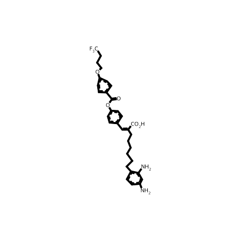 Nc1ccc(CCCCCCC(=Cc2ccc(OC(=O)c3ccc(OCCCC(F)(F)F)cc3)cc2)C(=O)O)c(N)c1